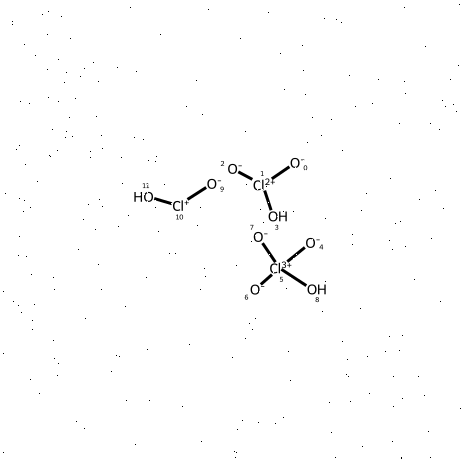 [O-][Cl+2]([O-])O.[O-][Cl+3]([O-])([O-])O.[O-][Cl+]O